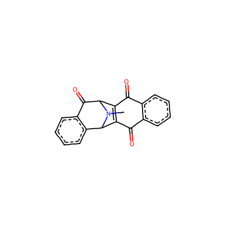 CN1C2C(=O)c3ccccc3C1C1=C2C(=O)c2ccccc2C1=O